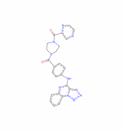 O=C(c1ccc(Nc2nc3ccccc3n3nnnc23)cc1)N1CCN(C(=O)c2cnccn2)CC1